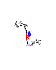 CC(=O)OCCCC/C=C\C/C=C\CCCCCCCCC(CCCCCCCC/C=C\C/C=C\CCCCOC(C)=O)OC(=O)CN(C)CN(C)C